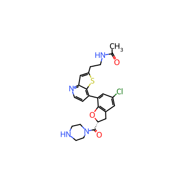 CC(=O)NCCc1cc2nccc(-c3cc(Cl)cc4c3O[C@@H](C(=O)N3CCNCC3)C4)c2s1